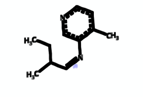 CCC(C)/C=N\c1cnccc1C